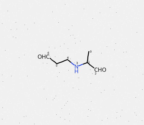 CC(C=O)NCCC=O